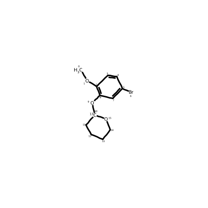 COc1ccc(Br)cc1O[13CH]1CCCCO1